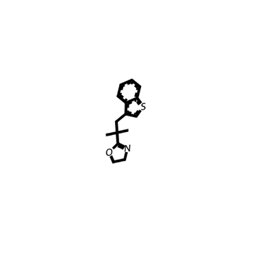 CC(C)(Cc1csc2ccccc12)C1=NCCO1